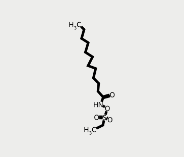 CCCCCCCCCCCC(=O)NOS(=O)(=O)CC